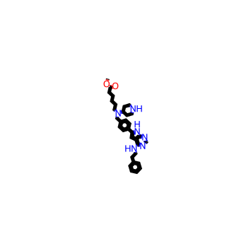 COC(=O)CCCCCN(Cc1ccc(-c2cc3c(NCCc4ccccc4)ncnc3[nH]2)cc1)C1CCNCC1